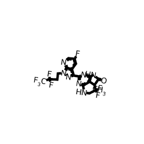 C[C@]12C(=O)Nc3nc(-c4nn(CCC(F)(F)C(F)(F)F)c5ncc(F)cc45)nc(c31)NCC2(F)F